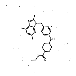 CCOC(=O)[C@H]1CC[C@@H](Nc2ccc(Cn3c(C)nc4c(C)cc(C)nc43)cc2)CC1